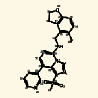 CS(=O)(=O)c1ncn2c(NCc3c(F)ccc4c3CCO4)ncc(-c3cccnc3)c12